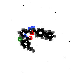 O=C(c1cc(C(F)(F)F)ccc1Cl)N1CCCC1c1nnc(-c2ccc(-c3ccccc3)cc2)o1